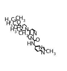 Cc1cn2cc(NC(=O)N3CCc4c(N5CCN(C(=O)OC(C)(C)C)C(C)(C)C5)ccnc43)ccc2n1